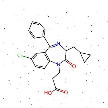 O=C(O)CCN1C(=O)C(CC2CC2)N=C(c2ccccc2)c2cc(Cl)ccc21